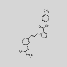 Cc1ccc(NC(=O)c2cccn2C/C=C/c2cccc(SC(C)C(=O)O)c2)cc1